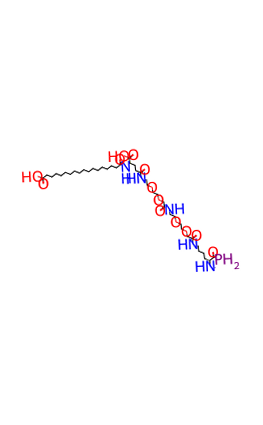 CN[C@@H](CCCCNC(=O)COCCOCCNC(=O)COCCOCCNC(=O)CCC(NC(=O)CCCCCCCCCCCCCCCCC(=O)O)C(=O)O)C(=O)P